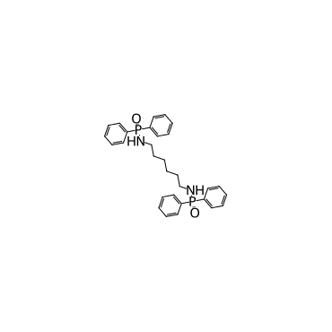 O=P(NCCCCCCNP(=O)(c1ccccc1)c1ccccc1)(c1ccccc1)c1ccccc1